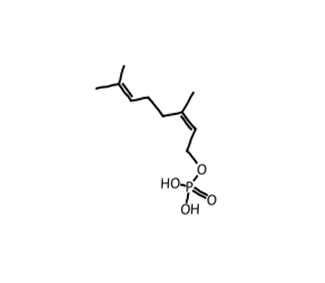 CC(C)=CCC/C(C)=C\COP(=O)(O)O